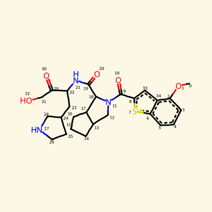 COc1cccc2sc(C(=O)N3CC4CCCC4C3C(=O)NC(CC3CCNC3)C(=O)CO)cc12